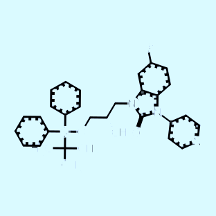 C[C@H](CO[Si](c1ccccc1)(c1ccccc1)C(C)(C)C)Cn1c(=O)n(-c2ccncc2)c2ccc(Br)cc21